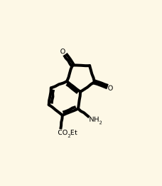 CCOC(=O)c1ccc2c(c1N)C(=O)CC2=O